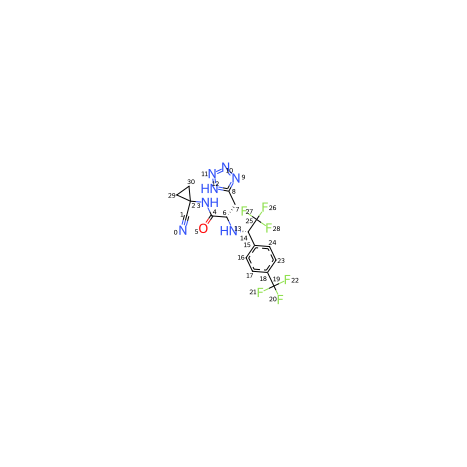 N#CC1(NC(=O)[C@H](Cc2nnn[nH]2)N[C@@H](c2ccc(C(F)(F)F)cc2)C(F)(F)F)CC1